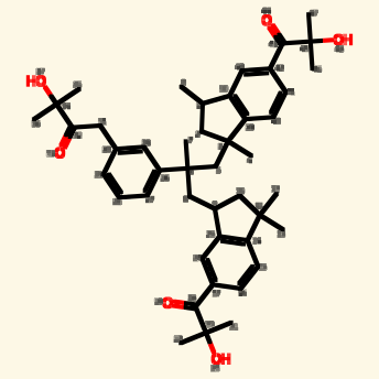 CC1CC(C)(CC(C)(CC2CC(C)(C)c3ccc(C(=O)C(C)(C)O)cc32)c2cccc(CC(=O)C(C)(C)O)c2)c2ccc(C(=O)C(C)(C)O)cc21